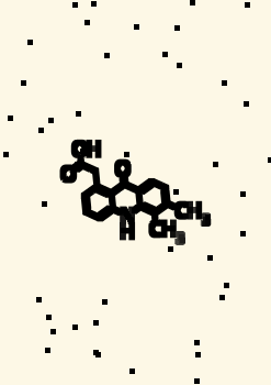 Cc1ccc2c(=O)c3c(CC(=O)O)cccc3[nH]c2c1C